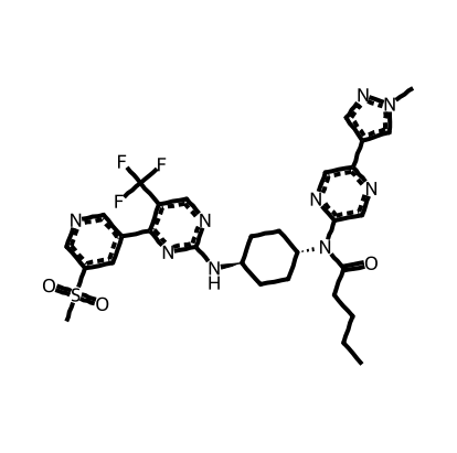 CCCCC(=O)N(c1cnc(-c2cnn(C)c2)cn1)[C@H]1CC[C@H](Nc2ncc(C(F)(F)F)c(-c3cncc(S(C)(=O)=O)c3)n2)CC1